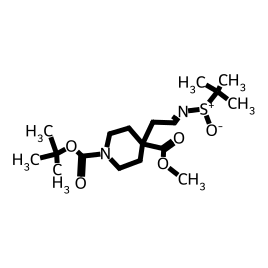 COC(=O)C1(CC=N[S+]([O-])C(C)(C)C)CCN(C(=O)OC(C)(C)C)CC1